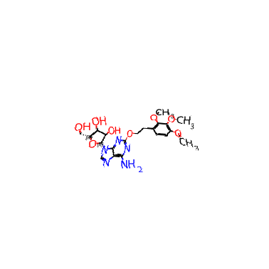 COc1ccc(CCOc2nc(N)c3ncn([C@@H]4O[C@H](CO)C(O)C4O)c3n2)c(OC)c1OC